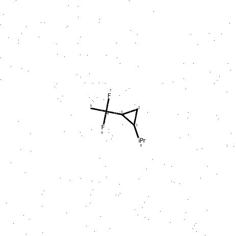 CC(C)C1CC1C(C)(F)F